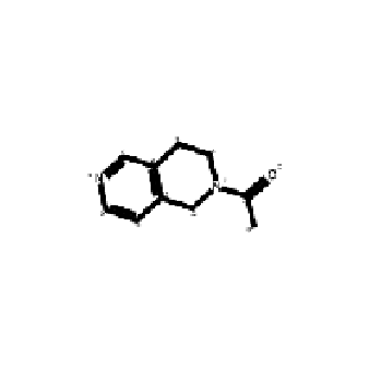 CC(=O)N1CCc2cnccc2C1